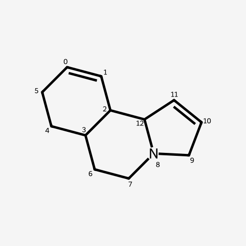 C1=CC2C(CC1)CCN1CC=CC21